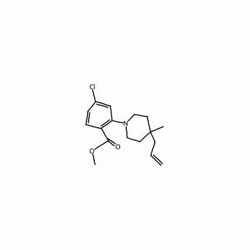 C=CCC1(C)CCN(c2cc(Cl)ccc2C(=O)OC)CC1